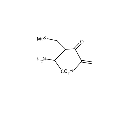 C=C(C)C(=O)C(CSC)C(N)C(=O)O